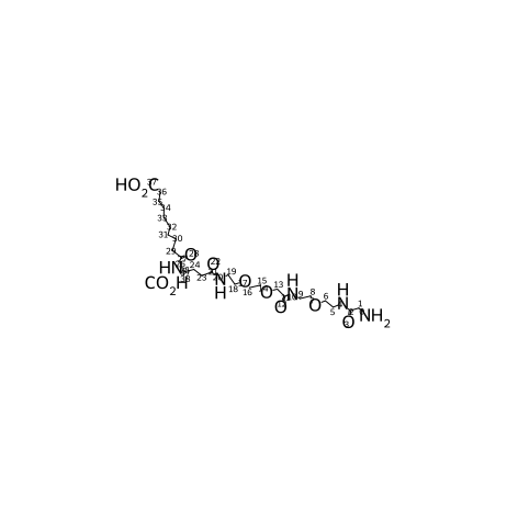 NCC(=O)NCCOCCNC(=O)COCCOCCNC(=O)CC[C@H](NC(=O)CCCCCCCCC(=O)O)C(=O)O